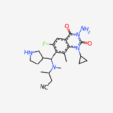 Cc1c(C(C2CCNC2)N(C)C(C)CC#N)c(F)cc2c(=O)n(N)c(=O)n(C3CC3)c12